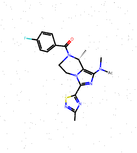 CC(=O)N(C)c1nc(-c2nc(C)ns2)n2c1[C@@H](C)N(C(=O)c1ccc(F)cc1)CC2